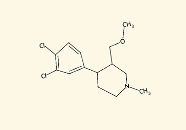 COCC1CN(C)CCC1c1ccc(Cl)c(Cl)c1